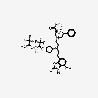 C[C@H](CN(CCC(N)=O)CCN(CCc1ccc(O)c2[nH]c(=O)sc12)C1CCCC1)c1ccccc1.O=C(O)C(F)(F)F.O=C(O)C(F)(F)F